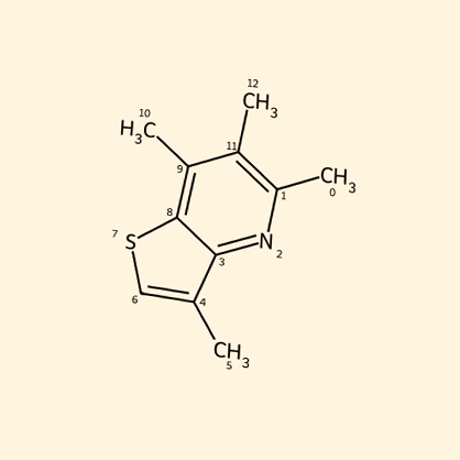 Cc1nc2c(C)csc2c(C)c1C